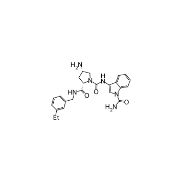 CCc1cccc(CNC(=O)[C@@H]2C[C@H](N)CN2C(=O)Nc2cn(C(N)=O)c3ccccc23)c1